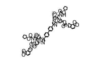 CC(C)C(NC(=O)OC1CCCC1)C(=O)N1C[C@H](OC(=O)N2Cc3ccc4c(c3C2)OCO4)C[C@H]1c1nc(-c2ccc(-c3ccc(-c4cnc([C@@H]5C[C@@H](OC(=O)N6Cc7ccc8c(c7C6)OCO8)CN5C(=O)[C@@H](NC(=O)OC5CCCC5)C(C)C)[nH]4)cc3)cc2)c[nH]1